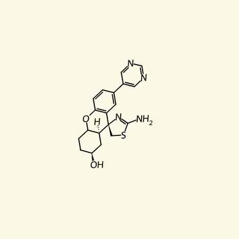 NC1=N[C@@]2(CS1)c1cc(-c3cncnc3)ccc1OC1CC[C@H](O)C[C@@H]12